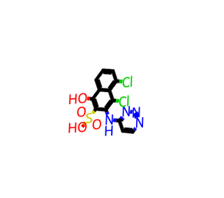 O=S(=O)(O)c1c(Nc2ccnnn2)c(Cl)c2c(Cl)cccc2c1O